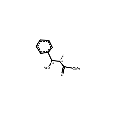 COC(=O)[C@@H](I)[C@@H](OC(C)=O)c1ccccc1